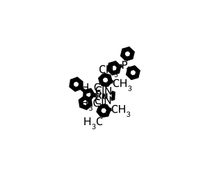 Cc1cc(C)c(N2CCN(c3c(C)cc(C)cc3C)[C]2=[Ru]([Cl])([Cl])=[C]2C=C(c3ccccc3)c3ccccc32)c(C)c1.c1ccc(P(c2ccccc2)c2ccccc2)cc1